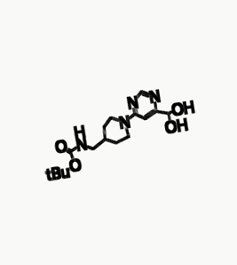 CC(C)(C)OC(=O)NCC1CCN(c2cc(C(O)O)ncn2)CC1